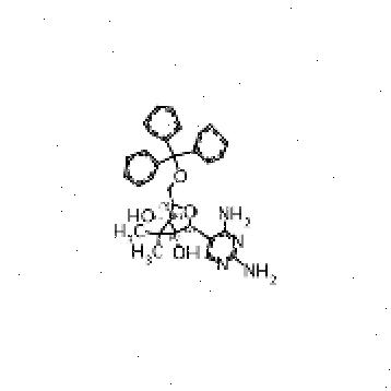 CC1(C)[C@]2(O)[C@H](c3cnc(N)nc3N)O[C@H](COC(c3ccccc3)(c3ccccc3)c3ccccc3)[C@]12O